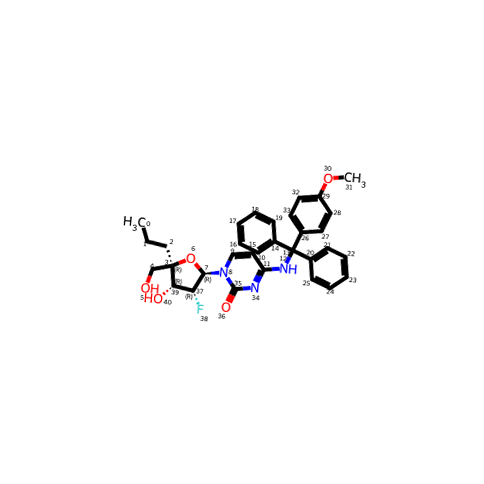 CCC[C@]1(CO)O[C@@H](n2ccc(NC(c3ccccc3)(c3ccccc3)c3ccc(OC)cc3)nc2=O)[C@H](F)[C@@H]1O